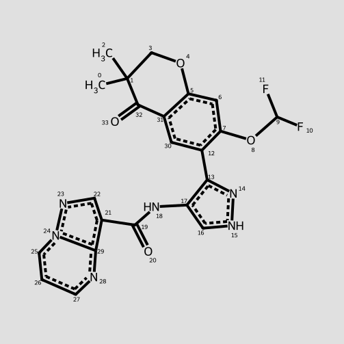 CC1(C)COc2cc(OC(F)F)c(-c3n[nH]cc3NC(=O)c3cnn4cccnc34)cc2C1=O